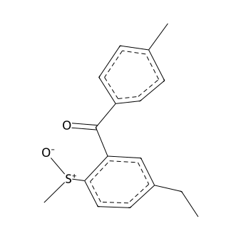 CCc1ccc([S+](C)[O-])c(C(=O)c2ccc(C)cc2)c1